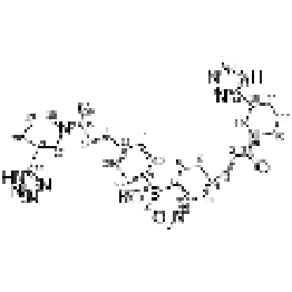 O=C(/C=C/c1ccc(Sc2ccc(/C=C/C(=O)N3CCCC(c4nnn[nH]4)C3)cc2[N+](=O)[O-])c([N+](=O)[O-])c1)N1CCCC(c2nnn[nH]2)C1